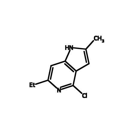 CCc1cc2[nH]c(C)cc2c(Cl)n1